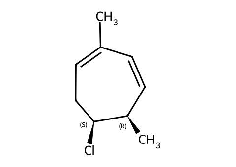 CC1=CC[C@H](Cl)[C@H](C)C=C1